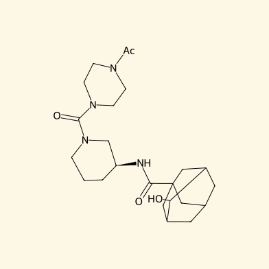 CC(=O)N1CCN(C(=O)N2CCC[C@H](NC(=O)C34CC5CC(C3)C(O)C(C5)C4)C2)CC1